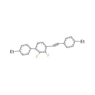 CCc1ccc(C#Cc2ccc(-c3ccc(CC)cc3)c(F)c2F)cc1